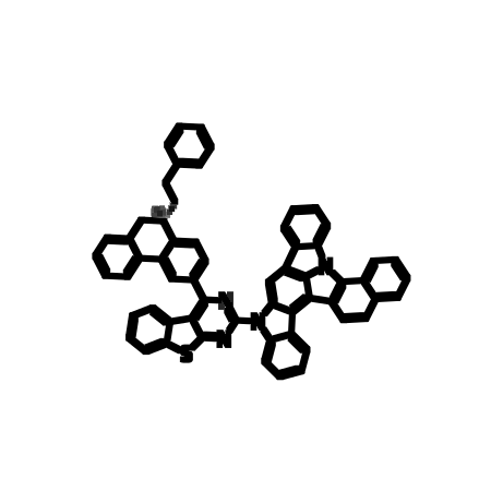 c1ccc(CC[C@H]2Cc3ccccc3-c3cc(-c4nc(-n5c6ccccc6c6c7c8ccc9ccccc9c8n8c9ccccc9c(cc65)c78)nc5sc6ccccc6c45)ccc32)cc1